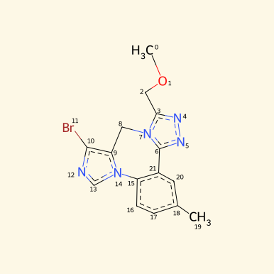 COCc1nnc2n1Cc1c(Br)ncn1-c1ccc(C)cc1-2